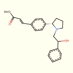 COC(=O)/C=C/c1ccc([C@@H]2CCCN2CC(O)c2ccccc2)cc1